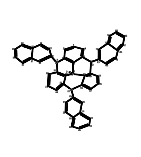 S=P12c3c4cccc3N(c3ccc5ccccc5c3)c3cccc(c31)N(c1ccc3ccccc3c1)c1cccc(c12)N4c1ccc2ccccc2c1